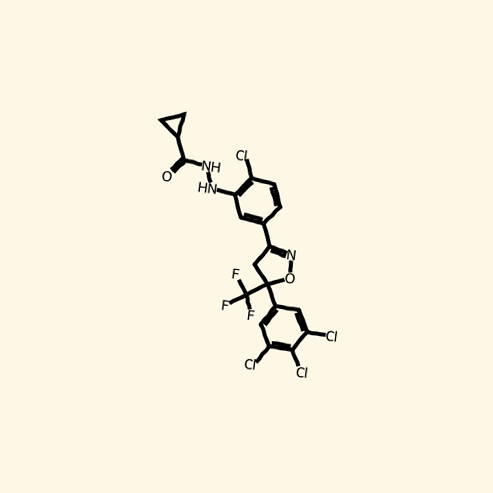 O=C(NNc1cc(C2=NOC(c3cc(Cl)c(Cl)c(Cl)c3)(C(F)(F)F)C2)ccc1Cl)C1CC1